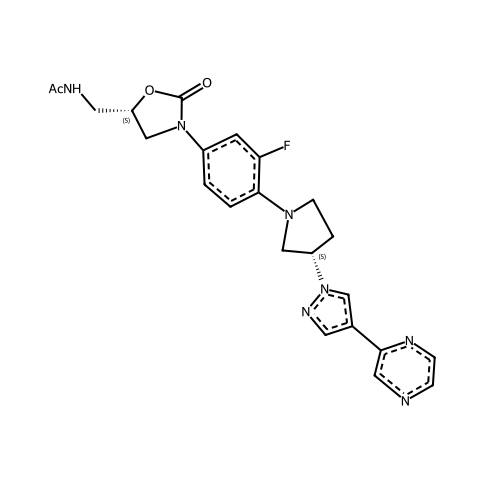 CC(=O)NC[C@H]1CN(c2ccc(N3CC[C@H](n4cc(-c5cnccn5)cn4)C3)c(F)c2)C(=O)O1